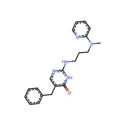 CN(CCCNc1ncc(Cc2ccccc2)c(=O)[nH]1)c1ccccn1